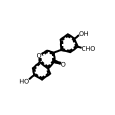 O=Cc1cc(-c2coc3cc(O)ccc3c2=O)ccc1O